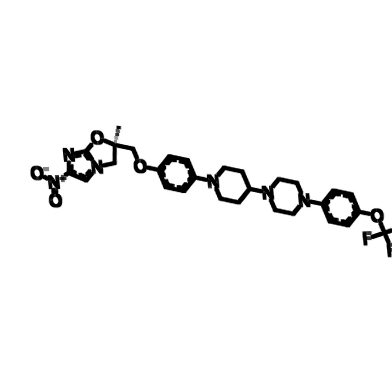 C[C@]1(COc2ccc(N3CCC(N4CCN(c5ccc(OC(F)(F)F)cc5)CC4)CC3)cc2)Cn2cc([N+](=O)[O-])nc2O1